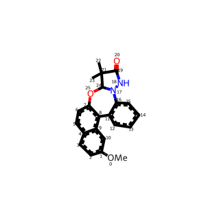 COc1ccc2ccc3c(c2c1)-c1ccccc1N1NC(=O)C(C)(C)C1O3